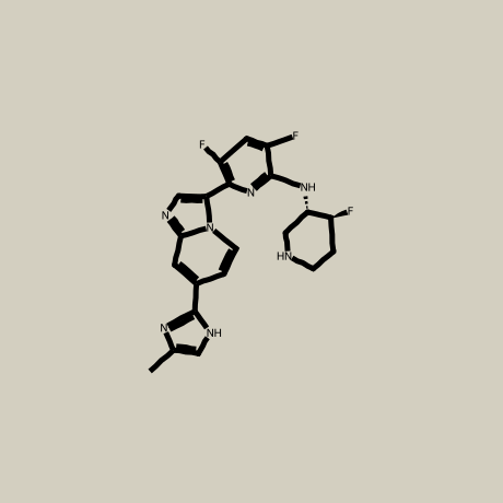 Cc1c[nH]c(-c2ccn3c(-c4nc(N[C@H]5CNCC[C@@H]5F)c(F)cc4F)cnc3c2)n1